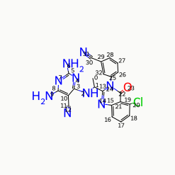 CC(Nc1nc(N)nc(N)c1C#N)c1nc2cccc(Cl)c2c(=O)n1-c1cccc(C#N)c1